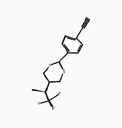 C#Cc1ccc(C2SCC([C@H](C)C(F)(F)F)CS2)cc1